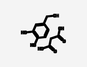 O=C(O)CC(=O)O.OCc1ccc(O)c(O)c1